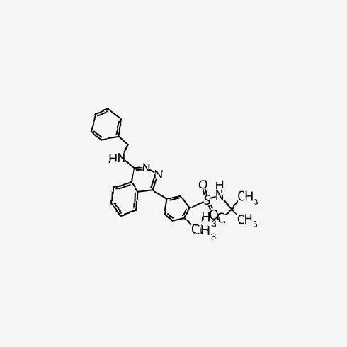 Cc1ccc(-c2nnc(NCc3ccccc3)c3ccccc23)cc1S(=O)(=O)NC(C)(C)C